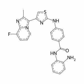 Cc1nc2c(F)cccn2c1-c1csc(Nc2ccc(C(=O)Nc3ccccc3N)cc2)n1